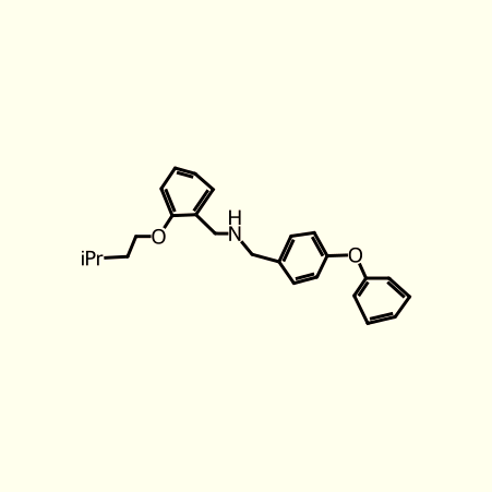 CC(C)CCOc1ccccc1CNCc1ccc(Oc2ccccc2)cc1